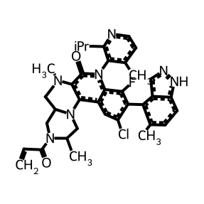 C=CC(=O)N1CC2CN(C)c3c(c4cc(Cl)c(-c5c(C)ccc6[nH]ncc56)c(F)c4n(-c4c(C)ccnc4C(C)C)c3=O)N2CC1C